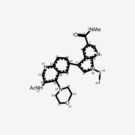 CNC(=O)c1cnc2c(c1)c(-c1ccc3ncc(NC(C)=O)c(N4CCOCC4)c3c1)cn2SI